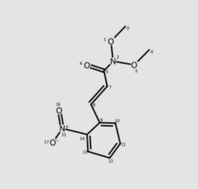 CON(OC)C(=O)C=Cc1ccccc1[N+](=O)[O-]